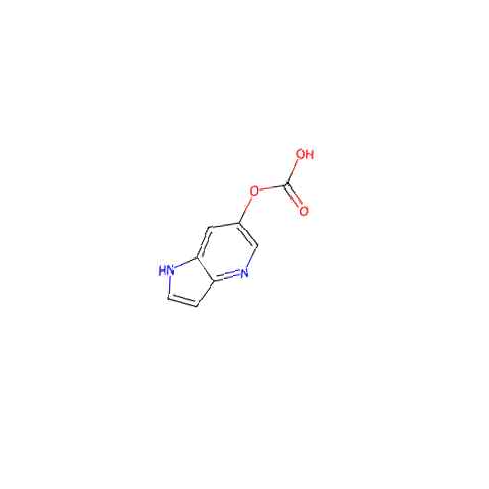 O=C(O)Oc1cnc2cc[nH]c2c1